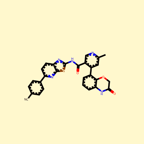 Cc1cc(-c2cccc3c2OCC(=O)N3)c(C(=O)Nc2nc3ccc(-c4ccc(C#N)cc4)nc3s2)cn1